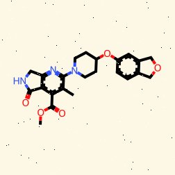 COC(=O)c1c(C)c(N2CCC(Oc3ccc4c(c3)COC4)CC2)nc2c1C(=O)NC2